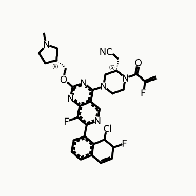 C=C(F)C(=O)N1CCN(c2nc(OC[C@@H]3CCN(C)C3)nc3c(F)c(-c4cccc5c4C(Cl)C(F)C=C5)ncc23)C[C@@H]1CC#N